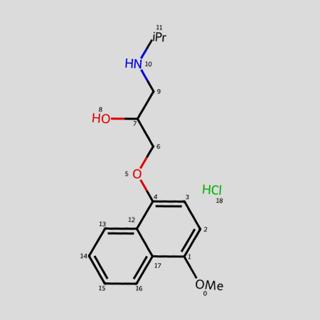 COc1ccc(OCC(O)CNC(C)C)c2ccccc12.Cl